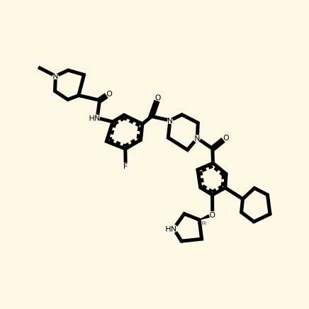 CN1CCC(C(=O)Nc2cc(F)cc(C(=O)N3CCN(C(=O)c4ccc(O[C@H]5CCNC5)c(C5CCCCC5)c4)CC3)c2)CC1